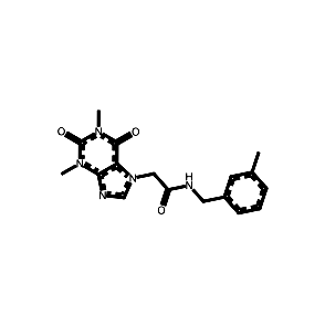 Cc1cccc(CNC(=O)Cn2cnc3c2c(=O)n(C)c(=O)n3C)c1